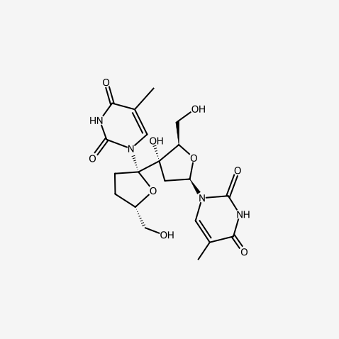 Cc1cn([C@H]2C[C@@](O)([C@]3(n4cc(C)c(=O)[nH]c4=O)CC[C@@H](CO)O3)[C@@H](CO)O2)c(=O)[nH]c1=O